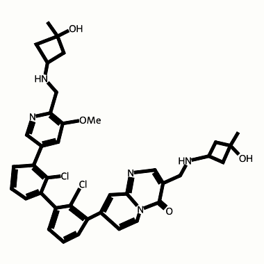 COc1cc(-c2cccc(-c3cccc(-c4ccn5c(=O)c(CNC6CC(C)(O)C6)cnc5c4)c3Cl)c2Cl)cnc1CNC1CC(C)(O)C1